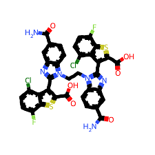 NC(=O)c1ccc2c(c1)nc(-c1c(C(=O)O)sc3c(F)ccc(Cl)c13)n2CCn1c(-c2c(C(=O)O)sc3c(F)ccc(Cl)c23)nc2cc(C(N)=O)ccc21